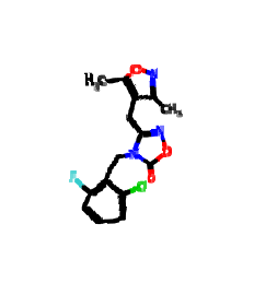 Cc1noc(C)c1Cc1noc(=O)n1Cc1c(F)cccc1Cl